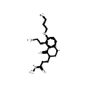 CCCc1c(OCCCBr)ccc2c1C(=O)C(CCC(=O)OC)CC2